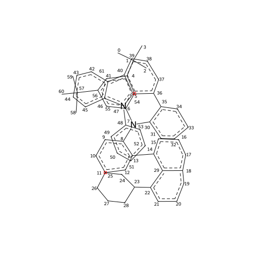 CC(C)(C)c1cc(N(c2ccccc2-c2cccc3cccc(C4CCCCC4)c23)c2ccccc2-c2cccc3c4ccccc4n(-c4ccccc4)c23)cc(C(C)(C)C)c1